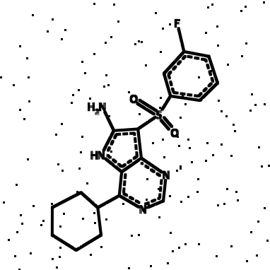 Nc1[nH]c2c(C3CCCCC3)ncnc2c1S(=O)(=O)c1cccc(F)c1